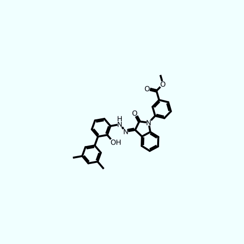 COC(=O)c1cccc(N2C(=O)/C(=N\Nc3cccc(-c4cc(C)cc(C)c4)c3O)c3ccccc32)c1